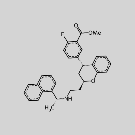 COC(=O)c1cc([C@H]2C[C@H](CCN[C@H](C)c3cccc4ccccc34)Oc3ccccc32)ccc1F